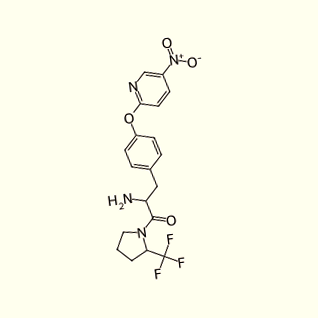 NC(Cc1ccc(Oc2ccc([N+](=O)[O-])cn2)cc1)C(=O)N1CCCC1C(F)(F)F